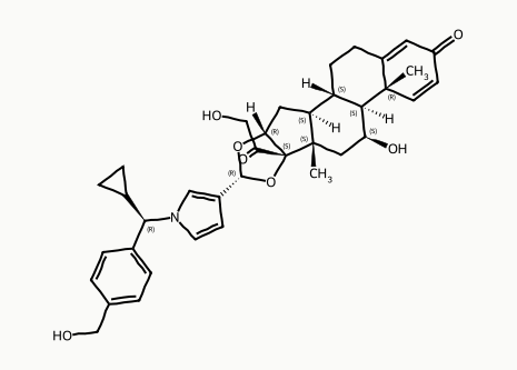 C[C@]12C=CC(=O)C=C1CC[C@@H]1[C@@H]2[C@@H](O)C[C@@]2(C)[C@H]1C[C@H]1O[C@@H](c3ccn([C@@H](c4ccc(CO)cc4)C4CC4)c3)O[C@]12C(=O)CO